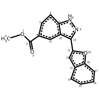 COC(=O)c1ccc2[nH]nc(-c3cc4ccccc4o3)c2c1